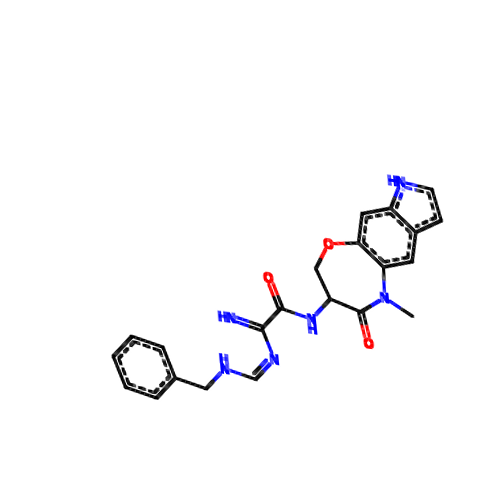 CN1C(=O)C(NC(=O)C(=N)/N=C\NCc2ccccc2)COc2cc3[nH]ccc3cc21